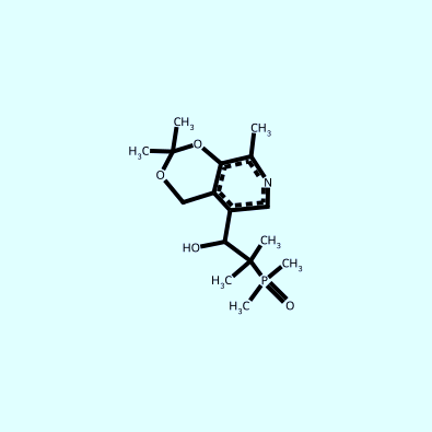 Cc1ncc(C(O)C(C)(C)P(C)(C)=O)c2c1OC(C)(C)OC2